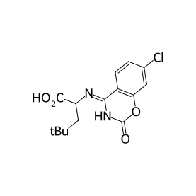 CC(C)(C)CC(/N=c1\[nH]c(=O)oc2cc(Cl)ccc12)C(=O)O